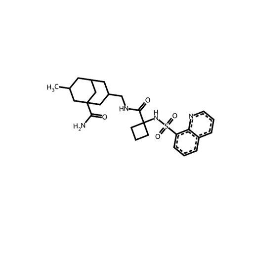 CC1CC2CC(CNC(=O)C3(NS(=O)(=O)c4cccc5cccnc45)CCC3)CC(C(N)=O)(C1)C2